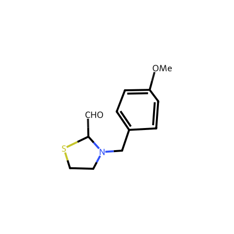 COc1ccc(CN2CCSC2C=O)cc1